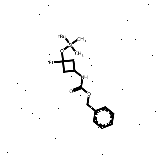 CCC1(O[Si](C)(C)C(C)(C)C)CC(NC(=O)OCc2ccccc2)C1